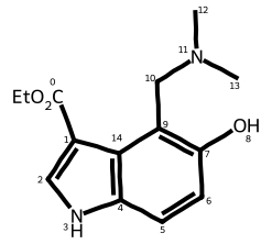 CCOC(=O)c1c[nH]c2ccc(O)c(CN(C)C)c12